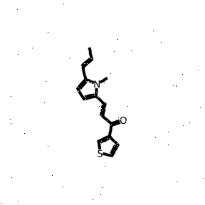 C/C=C/c1ccc(/C=C/C(=O)c2ccsc2)n1C